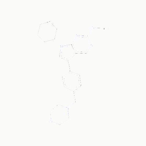 CCCCNc1ncc2c(-c3ccc(CN4CCNCC4)cc3)cn(C3CCCCC3)c2n1